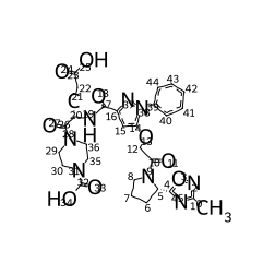 Cc1noc([C@@H]2CCCN2C(=O)COc2cc(C(=O)N[C@@H](CCC(=O)O)C(=O)N3CCN(C(=O)O)CC3)nn2-c2ccccc2)n1